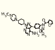 COc1cc(-c2nn([C@H]3CC[C@@H](N4CCN(C)CC4)CC3)c3ncnc(N)c23)ccc1NC(=O)c1ccco1